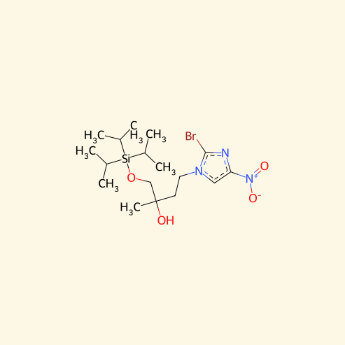 CC(C)[Si](OCC(C)(O)CCn1cc([N+](=O)[O-])nc1Br)(C(C)C)C(C)C